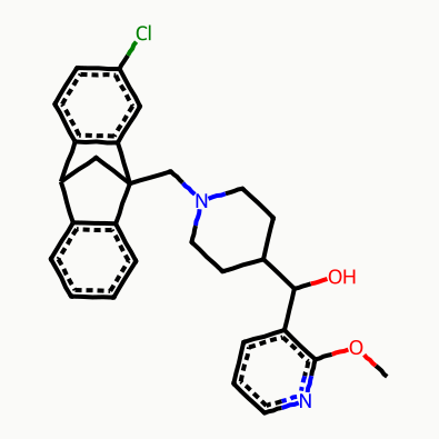 COc1ncccc1C(O)C1CCN(CC23CC(c4ccccc42)c2ccc(Cl)cc23)CC1